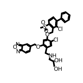 CS(=O)(=O)c1ccc(-c2ccccc2)c(Cl)c1COc1cc(OCc2ccc3nonc3c2)c(CNCC(O)CO)cc1Cl